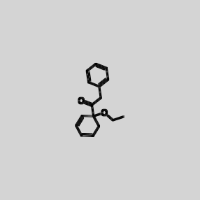 CCOC1(C(=O)Cc2ccccc2)C=CC=CC1